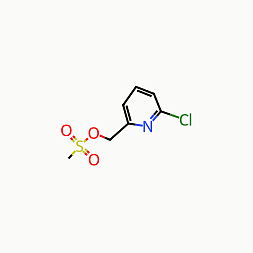 CS(=O)(=O)OCc1cccc(Cl)n1